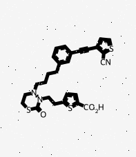 N#Cc1sccc1C#Cc1cccc(CCCCN2CCSC(=O)N2CCc2ccc(C(=O)O)s2)c1